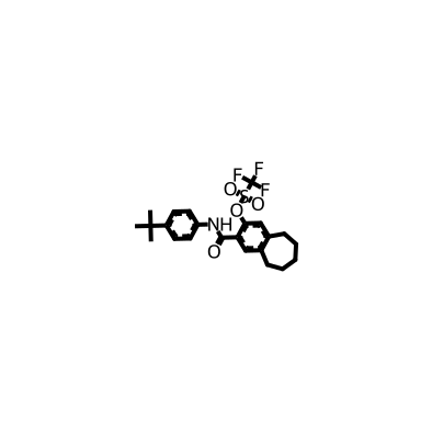 CC(C)(C)c1ccc(NC(=O)c2cc3c(cc2OS(=O)(=O)C(F)(F)F)CCCCC3)cc1